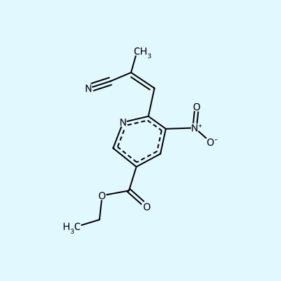 CCOC(=O)c1cnc(/C=C(/C)C#N)c([N+](=O)[O-])c1